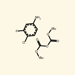 CC(C)(C)OC(=O)OC(=O)OC(C)(C)C.Nc1ccc(Cl)c(F)c1